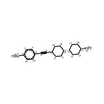 CCCCc1ccc(C#CC2CCC([C@H]3CC[C@H](CCC)CC3)CC2)cc1